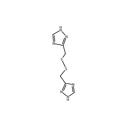 c1nc(CSSCc2nc[nH]n2)n[nH]1